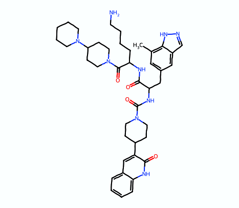 Cc1cc(CC(NC(=O)N2CCC(c3cc4ccccc4[nH]c3=O)CC2)C(=O)NC(CCCCN)C(=O)N2CCC(N3CCCCC3)CC2)cc2cn[nH]c12